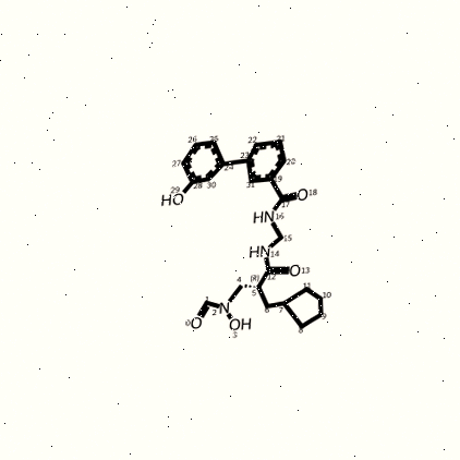 O=CN(O)C[C@@H](CC1CCCC1)C(=O)NCNC(=O)c1cccc(-c2cccc(O)c2)c1